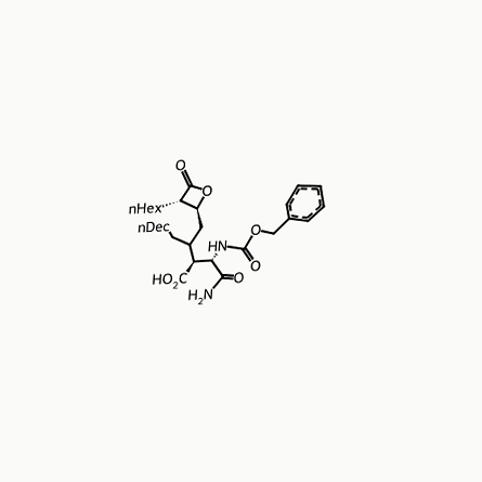 CCCCCCCCCCCC(C[C@@H]1OC(=O)[C@H]1CCCCCC)[C@H](C(=O)O)[C@H](NC(=O)OCc1ccccc1)C(N)=O